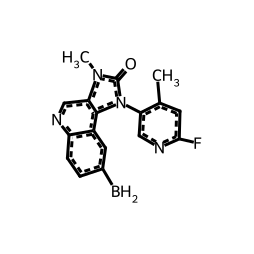 Bc1ccc2ncc3c(c2c1)n(-c1cnc(F)cc1C)c(=O)n3C